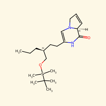 CCC[C@@H](CCC1=CN2CC=C[C@H]2C(=O)N1)CO[Si](C)(C)C(C)(C)C